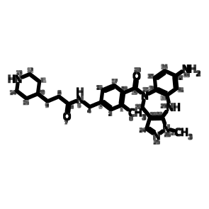 Cc1cc(CNC(=O)CCC2CCNCC2)ccc1C(=O)N1Cc2cnn(C)c2Nc2cc(N)ccc21